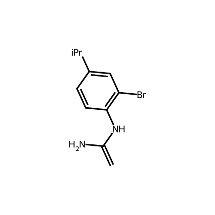 C=C(N)Nc1ccc(C(C)C)cc1Br